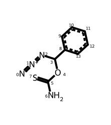 [N-]=[N+]=NC(OC(N)=S)c1ccccc1